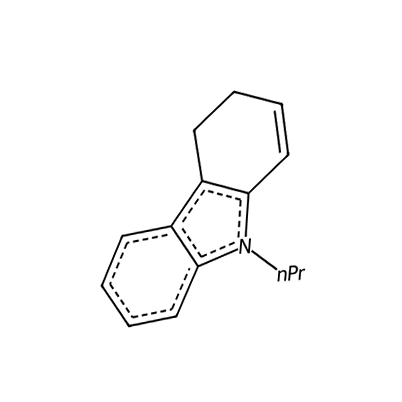 CCCn1c2c(c3ccccc31)CCC=C2